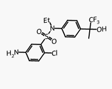 CCN(c1ccc(C(C)(O)C(F)(F)F)cc1)S(=O)(=O)c1cc(N)ccc1Cl